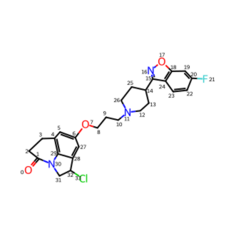 O=C1CCc2cc(OCCCN3CCC(c4noc5cc(F)ccc45)CC3)cc3c2N1CC3Cl